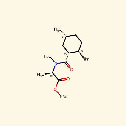 CCCCOC(=O)[C@@H](C)N(C)C(=O)[C@@H]1C[C@H](C)CC[C@H]1C(C)C